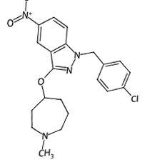 CN1CCCC(Oc2nn(Cc3ccc(Cl)cc3)c3ccc([N+](=O)[O-])cc23)CC1